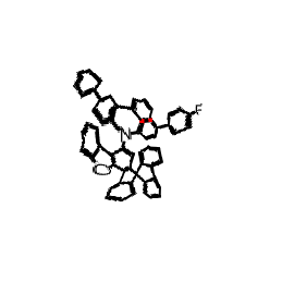 Fc1ccc(-c2ccc(N(c3ccc(-c4ccccc4)cc3-c3ccccc3)c3cc4c(c5oc6ccccc6c35)-c3ccccc3C43c4ccccc4-c4ccccc43)cc2)cc1